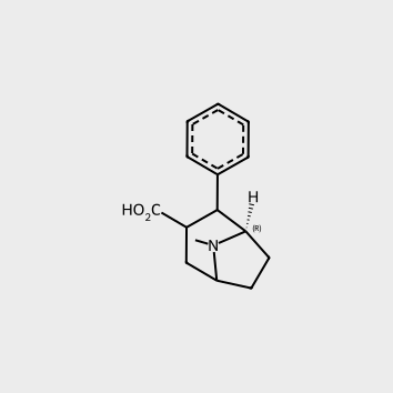 CN1C2CC[C@@H]1C(c1ccccc1)C(C(=O)O)C2